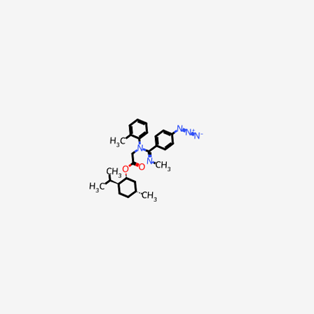 C/N=C(\c1ccc(N=[N+]=[N-])cc1)N(CC(=O)O[C@@H]1C[C@H](C)CC[C@H]1C(C)C)c1ccccc1C